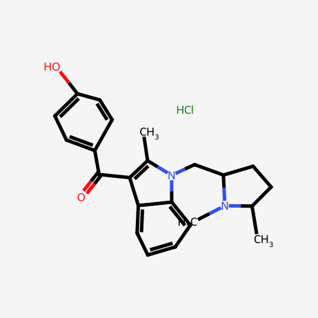 Cc1c(C(=O)c2ccc(O)cc2)c2ccccc2n1CC1CCC(C)N1C.Cl